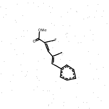 COC(=O)/C(F)=C/C(C)=C/c1ccccc1